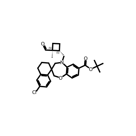 CC(C)(C)OC(=O)c1ccc2c(c1)N(C[C@H]1CC[C@]1(C)C=O)CC1(CCCc3cc(Cl)ccc31)CO2